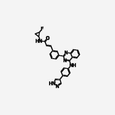 O=C(/C=C/c1cccc(-c2nc(Nc3ccc(-c4cn[nH]c4)cc3)c3ccccc3n2)c1)NC1CC1F